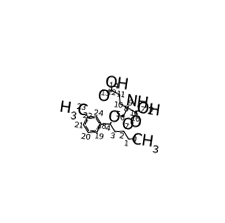 CCCCC(OC(=O)C(N)(CCC(=O)O)C(=O)O)c1cccc(C)c1